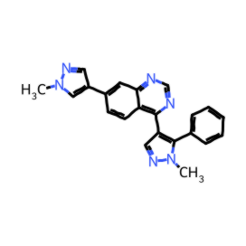 Cn1cc(-c2ccc3c(-c4cnn(C)c4-c4ccccc4)ncnc3c2)cn1